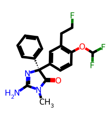 CN1C(=O)[C@](c2ccccc2)(c2ccc(OC(F)F)c(CCF)c2)N=C1N